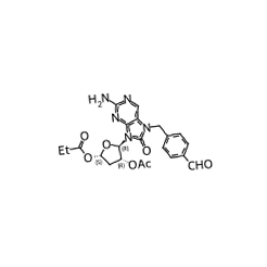 CCC(=O)O[C@H]1C[C@@H](OC(C)=O)[C@H](n2c(=O)n(Cc3ccc(C=O)cc3)c3cnc(N)nc32)O1